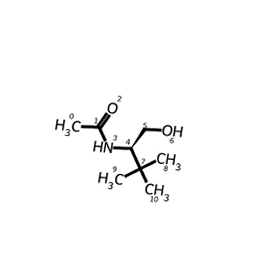 CC(=O)N[C@@H](CO)C(C)(C)C